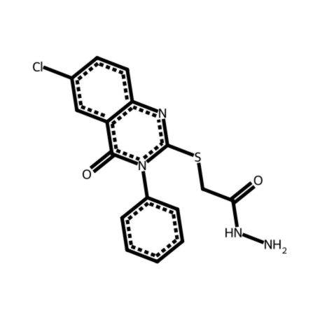 NNC(=O)CSc1nc2ccc(Cl)cc2c(=O)n1-c1ccccc1